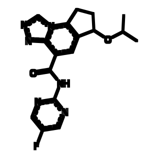 CC(C)OC1CCc2c1cc(C(=O)Nc1ncc(F)cn1)c1nncn21